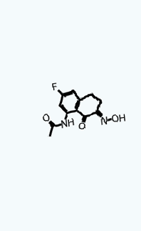 CC(=O)Nc1cc(F)cc2c1C(=O)/C(=N/O)CC2